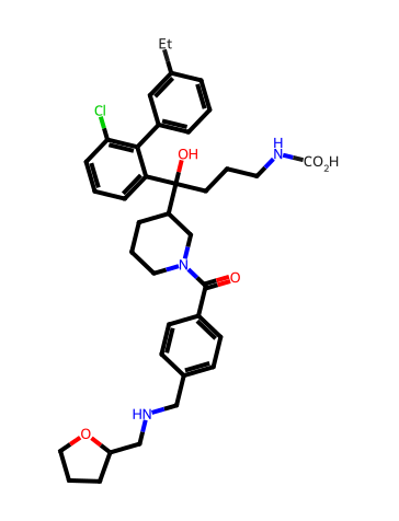 CCc1cccc(-c2c(Cl)cccc2C(O)(CCCNC(=O)O)C2CCCN(C(=O)c3ccc(CNCC4CCCO4)cc3)C2)c1